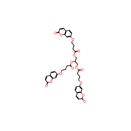 O=C(CCCOc1ccc2ccc(=O)oc2c1)OCC(COC(=O)CCCOc1ccc2ccc(=O)oc2c1)OC(=O)CCCOc1ccc2ccc(=O)oc2c1